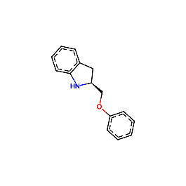 c1ccc(OC[C@@H]2Cc3ccccc3N2)cc1